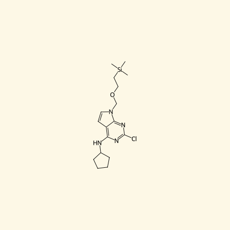 C[Si](C)(C)CCOCn1ccc2c(NC3CCCC3)nc(Cl)nc21